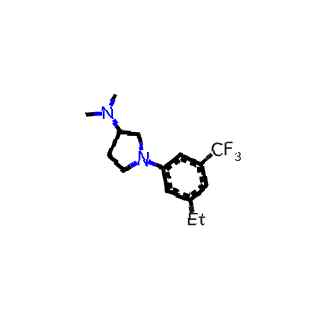 CCc1cc(N2CCC(N(C)C)C2)cc(C(F)(F)F)c1